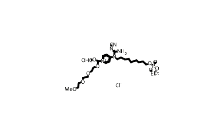 CCOP(=O)(OCC)OCCCCCCCCCN(C(N)=NC#N)c1cc[n+](C(OC=O)OCCOCCOCCOC)cc1.[Cl-]